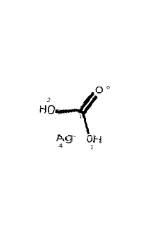 O=C(O)O.[Ag]